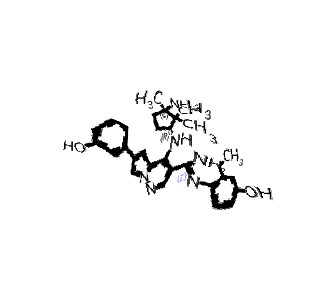 CCc1cc(O)ccc1/N=C(\N)c1cnn2cc(-c3cccc(O)c3)cc2c1N[C@@H]1CC[C@](C)(N)C1(C)C